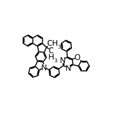 CC1(C)c2cc3c(cc2-c2c1ccc1ccccc21)c1ccccc1n3-c1cccc(-c2nc(-c3ccccc3)c3oc4ccccc4c3n2)c1